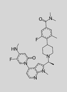 CNc1cc(=O)n(-c2ccnc3c2cc([C@H](C)N2CCC(c4c(C)cc(C(=O)N(C)C)cc4F)CC2)n3C)cc1F